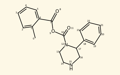 Cc1ccccc1C(=O)OC(=O)N1CCNCC1c1ccccc1